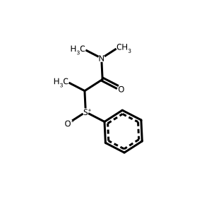 CC(C(=O)N(C)C)[S+]([O-])c1ccccc1